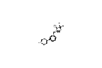 O=C(NCc1cccc(C2CCNCC2)c1)C(F)(F)F